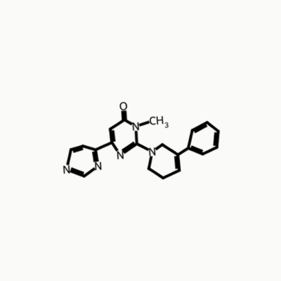 Cn1c(N2CCC=C(c3ccccc3)C2)nc(-c2ccncn2)cc1=O